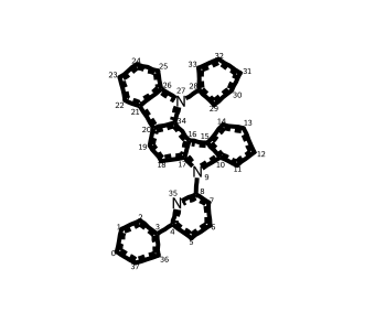 c1ccc(-c2cccc(-n3c4ccccc4c4c3ccc3c5ccccc5n(-c5ccccc5)c34)n2)cc1